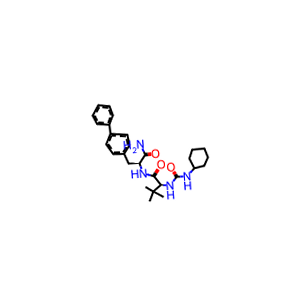 CC(C)(C)[C@H](NC(=O)NC1CCCCC1)C(=O)N[C@@H](Cc1ccc(-c2ccccc2)cc1)C(N)=O